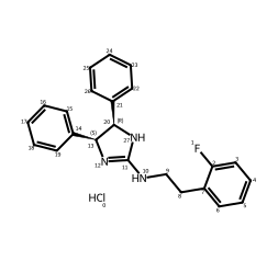 Cl.Fc1ccccc1CCNC1=N[C@@H](c2ccccc2)[C@@H](c2ccccc2)N1